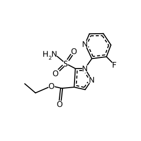 CCOC(=O)c1cnn(-c2ncccc2F)c1S(N)(=O)=O